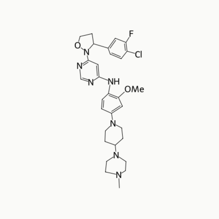 COc1cc(N2CCC(N3CCN(C)CC3)CC2)ccc1Nc1cc(N2OCCC2c2ccc(Cl)c(F)c2)ncn1